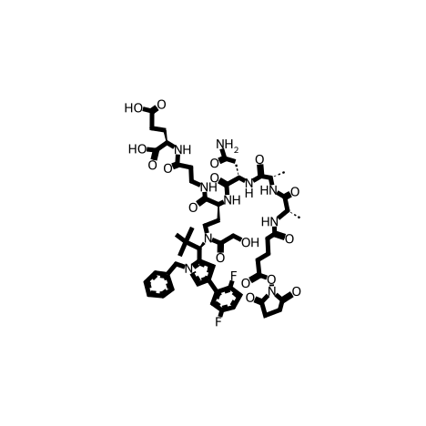 C[C@H](NC(=O)CCCC(=O)ON1C(=O)CCC1=O)C(=O)N[C@@H](C)C(=O)N[C@@H](CC(N)=O)C(=O)N[C@@H](CCN(C(=O)CO)[C@@H](c1cc(-c2cc(F)ccc2F)cn1Cc1ccccc1)C(C)(C)C)C(=O)NCCC(=O)N[C@H](CCC(=O)O)C(=O)O